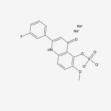 COc1ccc2[nH]c(-c3cccc(F)c3)cc(=O)c2c1OP(=O)([O-])[O-].[Na+].[Na+]